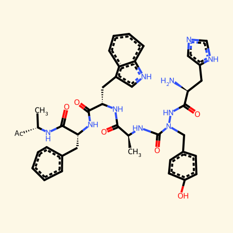 CC(=O)[C@H](C)NC(=O)[C@@H](Cc1ccccc1)NC(=O)[C@H](Cc1c[nH]c2ccccc12)NC(=O)[C@H](C)NC(=O)N(Cc1ccc(O)cc1)NC(=O)[C@@H](N)Cc1cnc[nH]1